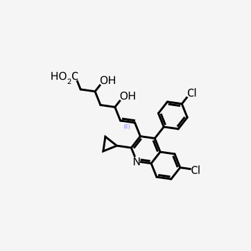 O=C(O)CC(O)CC(O)/C=C/c1c(C2CC2)nc2ccc(Cl)cc2c1-c1ccc(Cl)cc1